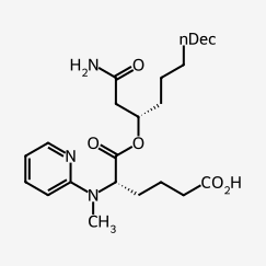 CCCCCCCCCCCCC[C@@H](CC(N)=O)OC(=O)[C@H](CCCC(=O)O)N(C)c1ccccn1